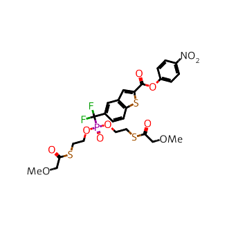 COCC(=O)SCCOP(=O)(OCCSC(=O)COC)C(F)(F)c1ccc2sc(C(=O)Oc3ccc([N+](=O)[O-])cc3)cc2c1